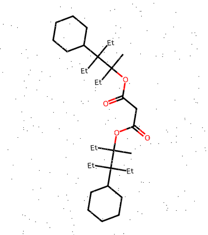 CCC(C)(OC(=O)CC(=O)OC(C)(CC)C(CC)(CC)C1CCCCC1)C(CC)(CC)C1CCCCC1